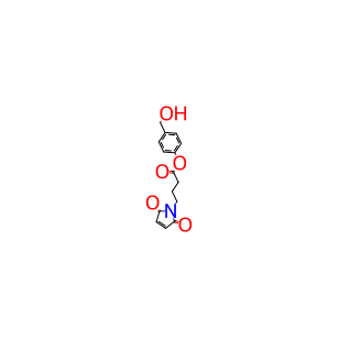 O=C(CCCN1C(=O)C=CC1=O)Oc1ccc(CO)cc1